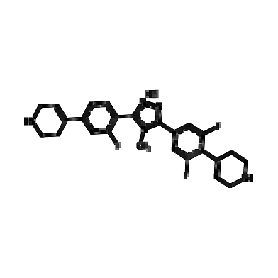 Cl.Cn1c(-c2cc(F)c(C3=CCNCC3)c(F)c2)nnc1-c1ccc(C2=CCNCC2)cc1F